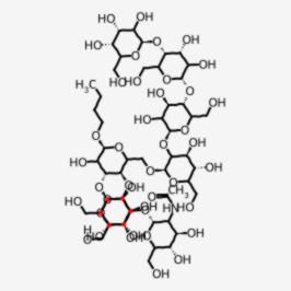 CCCCO[C@H]1OC(CO[C@@H]2OC(CO)[C@@H](O)[C@H](O)C2O[C@@H]2OC(CO)[C@@H](O[C@@H]3OC(CO)[C@H](O[C@H]4OC(CO)[C@H](O)[C@H](O)C4O)[C@H](O)C3O)[C@H](O)C2O)[C@@H](O[C@@H]2OC(CO)[C@@H](O)[C@H](O)C2O[C@H]2OC(CO)[C@@H](O)[C@H](O)C2NC(C)=O)[C@H](O[C@@H]2OC(CO)[C@@H](O)[C@H](O)C2O)C1O